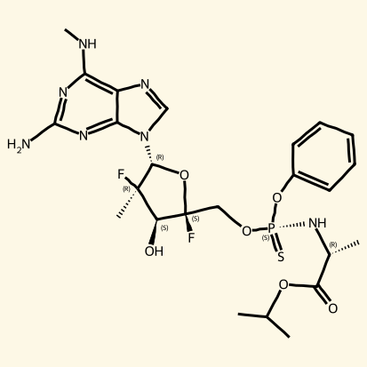 CNc1nc(N)nc2c1ncn2[C@@H]1O[C@](F)(CO[P@@](=S)(N[C@H](C)C(=O)OC(C)C)Oc2ccccc2)[C@@H](O)[C@@]1(C)F